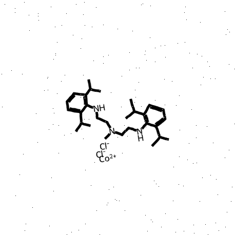 CC(C)c1cccc(C(C)C)c1NCCN(C)CCNc1c(C(C)C)cccc1C(C)C.[Cl-].[Cl-].[Co+2]